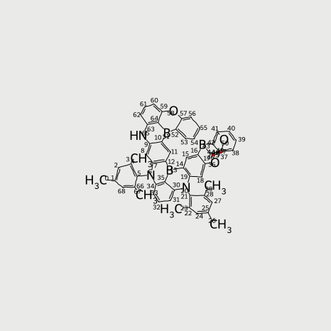 Cc1cc(C)c(N2c3cc4c(cc3B3c5cc6c(cc5N(c5c(C)cc(C)cc5C)c5cccc2c53)Oc2cccc3c2B6c2ccccc2O3)B2c3ccccc3Oc3cccc(c32)N4)c(C)c1